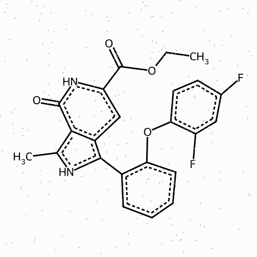 CCOC(=O)c1cc2c(-c3ccccc3Oc3ccc(F)cc3F)[nH]c(C)c2c(=O)[nH]1